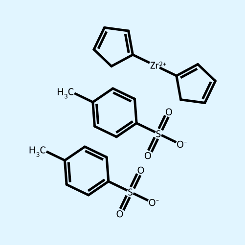 C1=CC[C]([Zr+2][C]2=CC=CC2)=C1.Cc1ccc(S(=O)(=O)[O-])cc1.Cc1ccc(S(=O)(=O)[O-])cc1